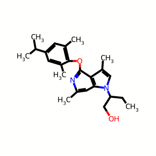 CCC(CO)n1cc(C)c2c(Oc3c(C)cc(C(C)C)cc3C)nc(C)cc21